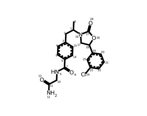 CC(Cc1ccc(C(=O)NCC(N)=O)cc1)N1CC(c2cccc(Cl)c2)OC1=O